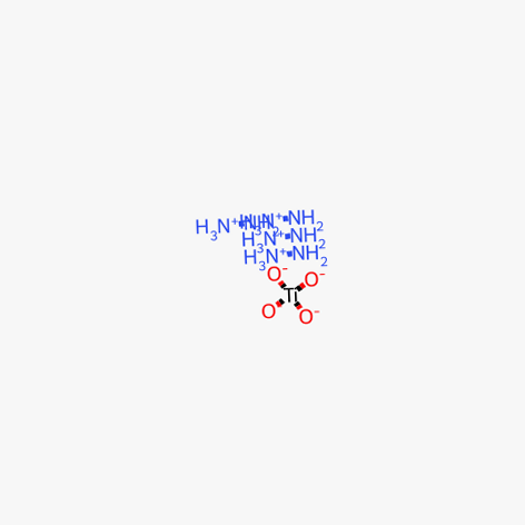 N[NH3+].N[NH3+].N[NH3+].N[NH3+].[O-][Ti]([O-])([O-])[O-]